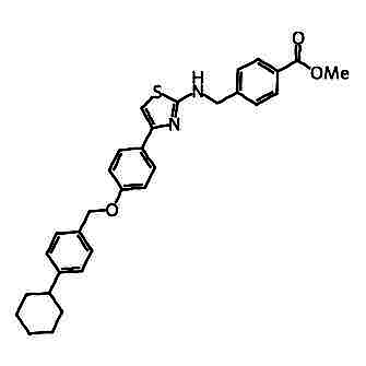 COC(=O)c1ccc(CNc2nc(-c3ccc(OCc4ccc(C5CCCCC5)cc4)cc3)cs2)cc1